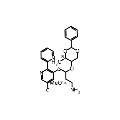 CO[C@@H](CN)C(OC1COC(c2ccccc2)O[C@@H]1C)Sc1cc(Cl)cnc1-c1ccccn1